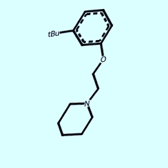 CC(C)(C)c1cccc(OCCN2CCCCC2)c1